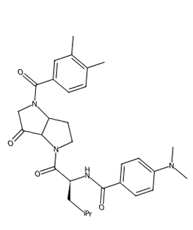 Cc1ccc(C(=O)N2CC(=O)C3C2CCN3C(=O)[C@H](CC(C)C)NC(=O)c2ccc(N(C)C)cc2)cc1C